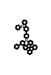 C1=CCCC(n2c3c(c4ccccc42)CCC(C2=CC=C(N(C4=CC=C(c5ccccc5)CC4)c4cccc5c4-c4ccccc4C54C5=C(CCC=C5)c5ccccc54)CC2)=C3)=C1